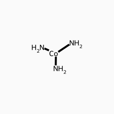 [NH2][Co]([NH2])[NH2]